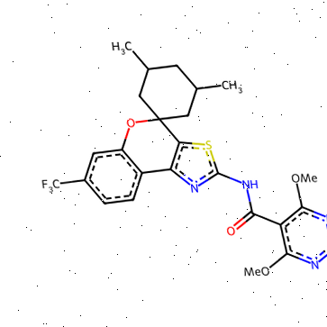 COc1ncnc(OC)c1C(=O)Nc1nc2c(s1)C1(CC(C)CC(C)C1)Oc1cc(C(F)(F)F)ccc1-2